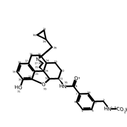 O=C(O)NCc1cccc(C(=O)N[C@@H]2CCC3C4Cc5ccc(O)c6c5[C@@]3(CCN4CC3CC3)C2O6)c1